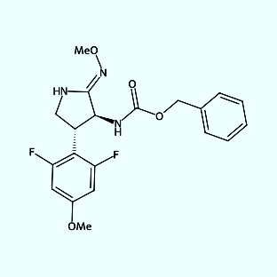 CO/N=C1\NC[C@@H](c2c(F)cc(OC)cc2F)[C@@H]1NC(=O)OCc1ccccc1